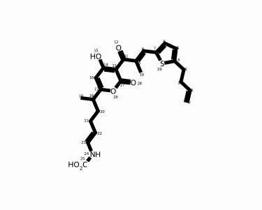 C=CCCc1ccc(/C=C(\C)C(=O)c2c(O)cc(C(C)CC/C=C/NC(=O)O)oc2=O)s1